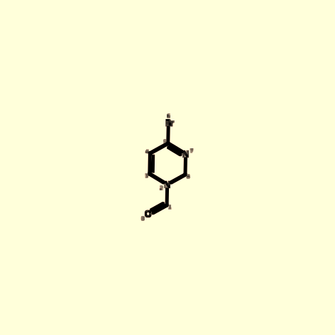 O=CN1C=CC(Br)=NC1